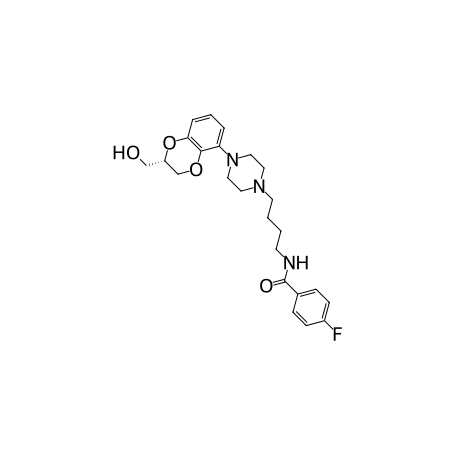 O=C(NCCCCN1CCN(c2cccc3c2OC[C@H](CO)O3)CC1)c1ccc(F)cc1